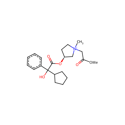 COC(=O)C[N+]1(C)CC[C@H](OC(=O)C(O)(c2ccccc2)C2CCCC2)C1